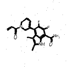 C=CC(=O)N1CCC=C(c2c(F)c(F)c(C(N)=O)c3[nH]c(C)c(C)c23)C1